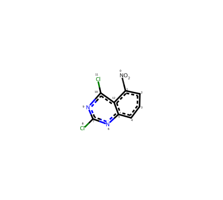 O=[N+]([O-])c1cccc2nc(Cl)nc(Cl)c12